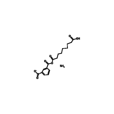 N.O=C(O)CCCCCCCC(=O)OC(=O)c1cccc([N+](=O)[O-])c1